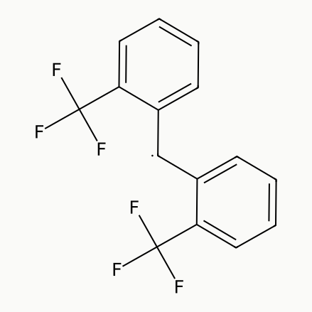 FC(F)(F)c1ccccc1[CH]c1ccccc1C(F)(F)F